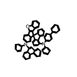 c1ccc(-c2ccc(N(c3ccccc3)c3cccc4c3-c3ccccc3C43c4cc(N(c5ccccc5)c5cc6ccccc6c6ccccc56)ccc4-c4oc5ccccc5c43)cc2)cc1